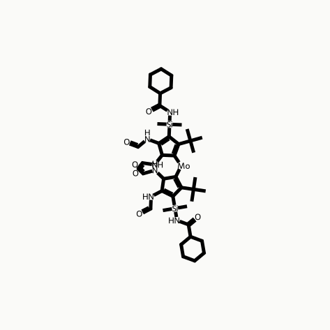 CC(C)(C)C1=[C]([Mo][C]2=C(C(C)(C)C)C([Si](C)(C)NC(=O)C3CCCCC3)=C(NC=O)C2NC=O)C(NC=O)C(NC=O)=C1[Si](C)(C)NC(=O)C1CCCCC1